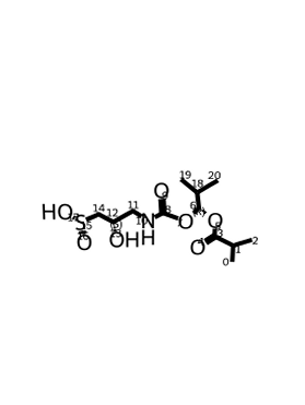 CC(C)C(=O)O[C@H](OC(=O)NC[C@H](O)CS(=O)O)C(C)C